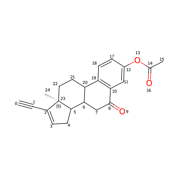 C#CC1=CCC2C3CC(=O)c4cc(OC(C)=O)ccc4C3CC[C@]12C